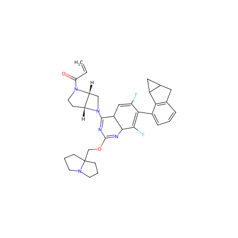 C=CC(=O)N1CC[C@@H]2[C@H]1CN2C1=NC(OCC23CCCN2CCC3)=NC2C(F)=C(c3cccc4c3C3CC3C4)C(F)=CC12